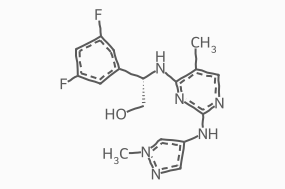 Cc1cnc(Nc2cnn(C)c2)nc1N[C@H](CO)c1cc(F)cc(F)c1